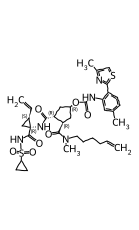 C=CCCCCN(C)C(=O)[C@@H]1C[C@H](OC(=O)Nc2cc(C)ccc2-c2nc(C)cs2)C[C@H]1C(=O)N[C@]1(C(=O)NS(=O)(=O)C2CC2)C[C@H]1C=C